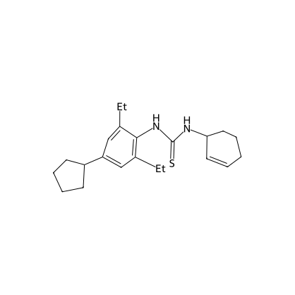 CCc1cc(C2CCCC2)cc(CC)c1NC(=S)NC1C=CCCC1